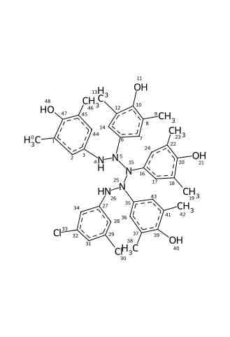 Cc1cc(NN(c2cc(C)c(O)c(C)c2)N(c2cc(C)c(O)c(C)c2)N(Nc2cc(Cl)cc(Cl)c2)c2cc(C)c(O)c(C)c2)cc(C)c1O